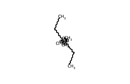 CCCCCCCC/C=C\CCCCCCCC(=O)[N+](C(=O)CCCCCCC/C=C\CCCCCCCC)(S(C)(=O)=O)S(C)(=O)=O.[Cl-]